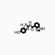 NC(=Nc1ccc(O)cc1)NC(=O)c1cccc2[nH]cnc12